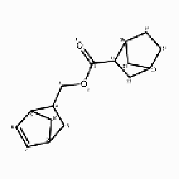 O=C(OCC1CC2C=CC1C2)C1CC2CCC1C2